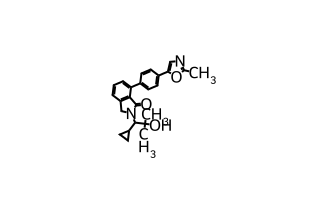 Cc1ncc(-c2ccc(-c3cccc4c3C(=O)N(C(C3CC3)C(C)(C)O)C4)cc2)o1